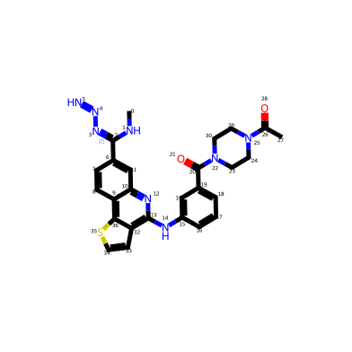 CN/C(=N\N=N)c1ccc2c(c1)nc(Nc1cccc(C(=O)N3CCN(C(C)=O)CC3)c1)c1ccsc12